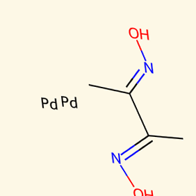 CC(=N\O)/C(C)=N/O.[Pd].[Pd]